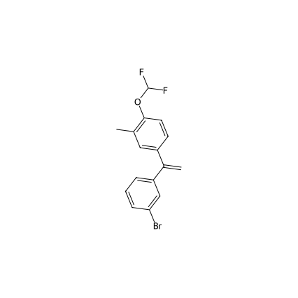 C=C(c1cccc(Br)c1)c1ccc(OC(F)F)c(C)c1